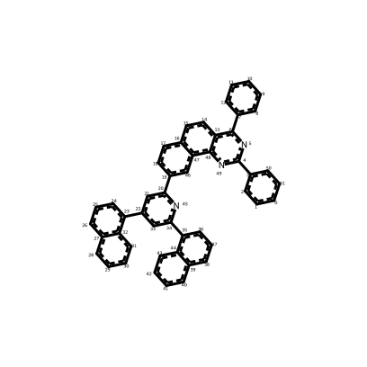 c1ccc(-c2nc(-c3ccccc3)c3ccc4ccc(-c5cc(-c6cccc7ccccc67)cc(-c6cccc7ccccc67)n5)cc4c3n2)cc1